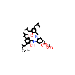 CC(=O)[O-].CC(=O)[O-].CC(C)Cc1cc(C=NC2CCCCC2N=Cc2cc(CC(C)C)cc(CC(C)C)c2O)c(O)c(CC(C)C)c1.[Co+2]